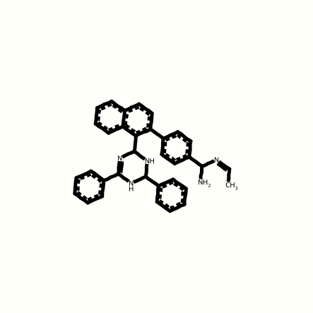 C/C=N\C(N)c1ccc(-c2ccc3ccccc3c2C2N=C(c3ccccc3)NC(c3ccccc3)N2)cc1